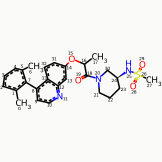 Cc1cccc(C)c1-c1ccnc2cc(OC(C)C(=O)N3CCC[C@H](NS(C)(=O)=O)C3)ccc12